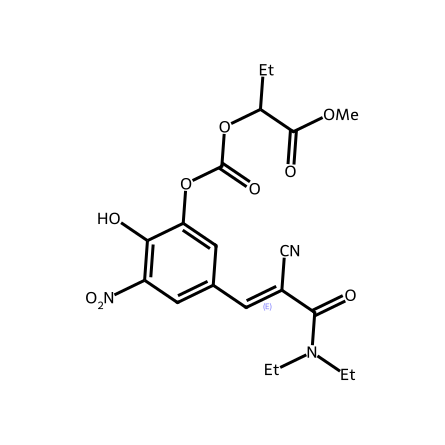 CCC(OC(=O)Oc1cc(/C=C(\C#N)C(=O)N(CC)CC)cc([N+](=O)[O-])c1O)C(=O)OC